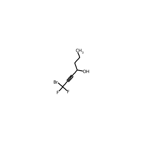 CCCC(O)C#CC(F)(F)Br